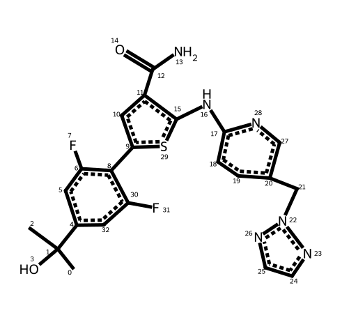 CC(C)(O)c1cc(F)c(-c2cc(C(N)=O)c(Nc3ccc(Cn4nccn4)cn3)s2)c(F)c1